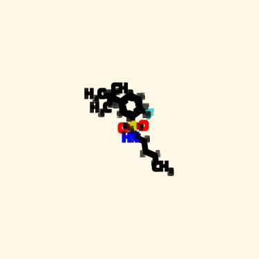 CCCCNS(=O)(=O)c1cc(C(C)(C)C)ccc1F